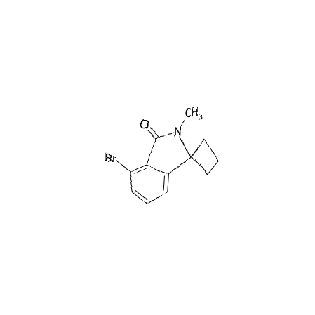 CN1C(=O)c2c(Br)cccc2C12CCC2